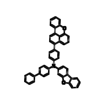 c1ccc(-c2ccc(N(c3ccc(-c4ccc5c6c(cccc46)Oc4ccccc4-5)cc3)c3ccc4c(c3)oc3ccccc34)cc2)cc1